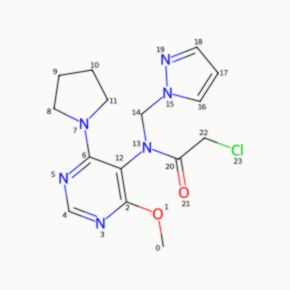 COc1ncnc(N2CCCC2)c1N(Cn1cccn1)C(=O)CCl